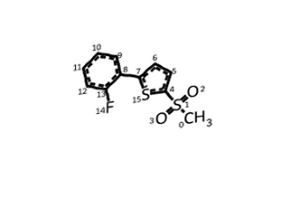 CS(=O)(=O)c1ccc(-c2ccccc2F)s1